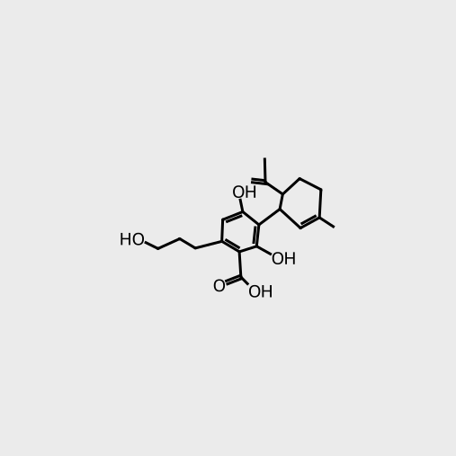 C=C(C)C1CCC(C)=CC1c1c(O)cc(CCCO)c(C(=O)O)c1O